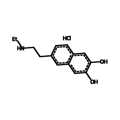 CCNCCc1ccc2cc(O)c(O)cc2c1.Cl